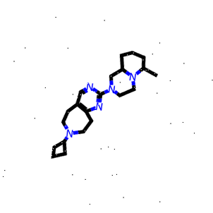 CC1CCCC2CN(c3ncc4c(n3)CCN(C3CCC3)CC4)CCN12